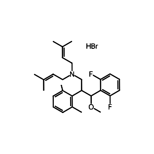 Br.COC(c1c(F)cccc1F)C(CN(CC=C(C)C)CC=C(C)C)c1c(C)cccc1C